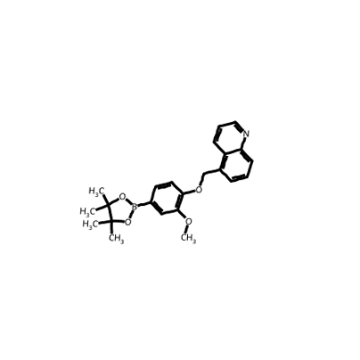 COc1cc(B2OC(C)(C)C(C)(C)O2)ccc1OCc1cccc2ncccc12